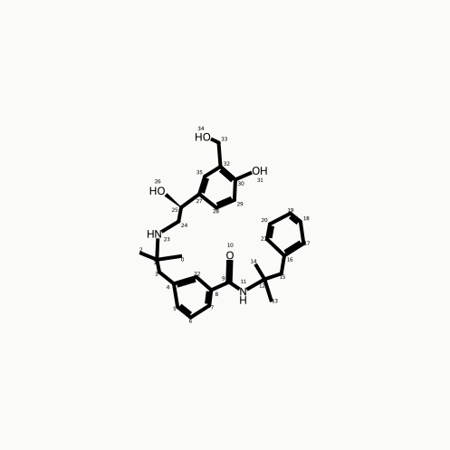 CC(C)(Cc1cccc(C(=O)NC(C)(C)Cc2ccccc2)c1)NC[C@@H](O)c1ccc(O)c(CO)c1